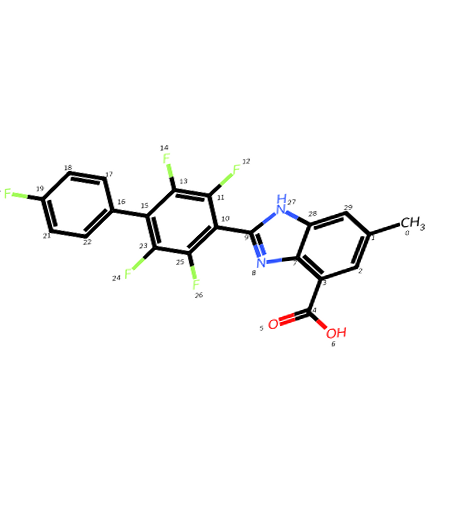 Cc1cc(C(=O)O)c2nc(-c3c(F)c(F)c(-c4ccc(F)cc4)c(F)c3F)[nH]c2c1